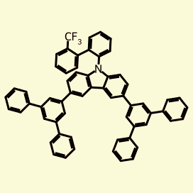 FC(F)(F)c1ccccc1-c1ccccc1-n1c2ccc(-c3cc(-c4ccccc4)cc(-c4ccccc4)c3)cc2c2cc(-c3cc(-c4ccccc4)cc(-c4ccccc4)c3)ccc21